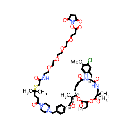 COc1ccc(C[C@H]2NC(=O)C=CC[C@@H]([C@H](C)[C@H]3O[C@@H]3c3ccc(CN4CCN(C(=O)CCC(C)(C)SCC(=O)NCCOCCOCCOCCOCCC(=O)ON5C(=O)CCC5=O)CC4)cc3)OC(=O)C(CC(C)C)OC(=O)C(C)(C)CNC2=O)cc1Cl